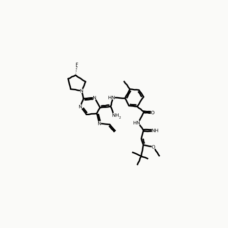 C=C/N=C1/C=NC(N2CC[C@H](F)C2)=N/C1=C(/N)Nc1cc(C(=O)NC(=N)/C=C(\OC)C(C)(C)C)ccc1C